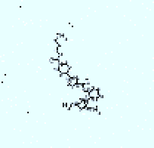 CCCCCC(=O)N1CCC(c2nc(C(=O)Nc3cccnc3-n3nc(C)cc3C)cs2)CC1